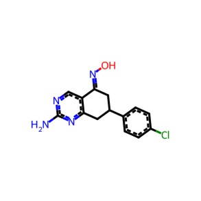 Nc1ncc2c(n1)CC(c1ccc(Cl)cc1)C/C2=N\O